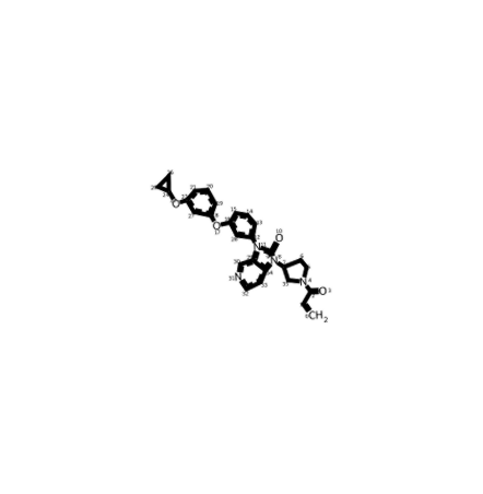 C=CC(=O)N1CCC(n2c(=O)n(-c3cccc(Oc4cccc(OC5CC5)c4)c3)c3cnccc32)C1